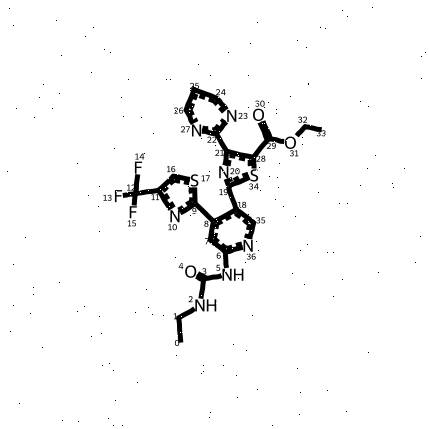 CCNC(=O)Nc1cc(-c2nc(C(F)(F)F)cs2)c(-c2nc(-c3ncccn3)c(C(=O)OCC)s2)cn1